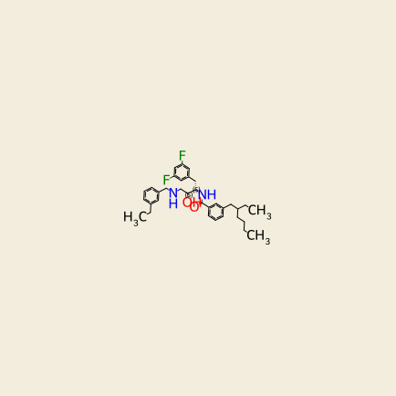 CCCCC(CC)Cc1cccc(C(=O)N[C@@H](Cc2cc(F)cc(F)c2)[C@@H](O)CNCc2cccc(CC)c2)c1